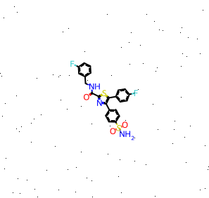 NS(=O)(=O)c1ccc(-c2nc(C(=O)NCc3cccc(F)c3)sc2-c2ccc(F)cc2)cc1